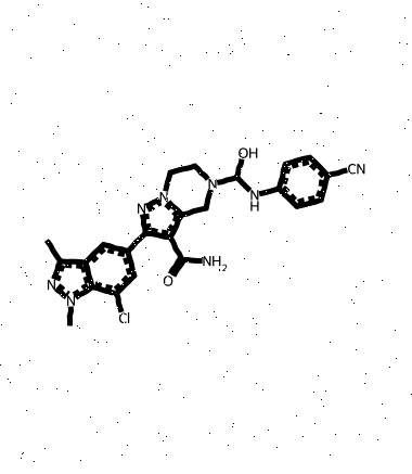 Cc1nn(C)c2c(Cl)cc(-c3nn4c(c3C(N)=O)CN(C(O)Nc3ccc(C#N)cc3)CC4)cc12